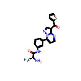 C[C@H](N)C(=O)Nc1cccc(-c2ccnc3c(C(=O)c4cccs4)cnn23)c1